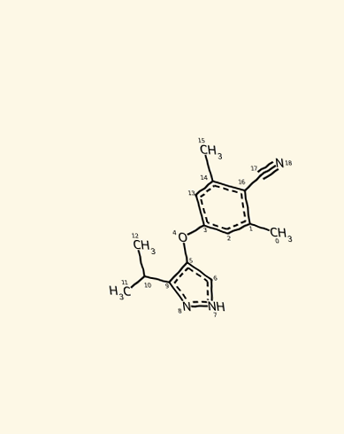 Cc1cc(Oc2c[nH]nc2C(C)C)cc(C)c1C#N